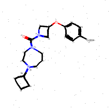 COc1ccc(OC2CN(C(=O)N3CCCN(C4CCC4)CC3)C2)cc1